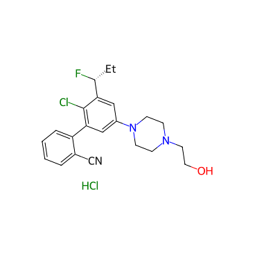 CC[C@@H](F)c1cc(N2CCN(CCO)CC2)cc(-c2ccccc2C#N)c1Cl.Cl